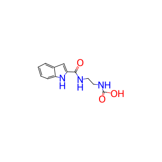 O=C(O)NCCNC(=O)c1cc2ccccc2[nH]1